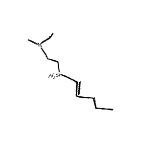 CCCC=C[SiH2]CCN(C)C